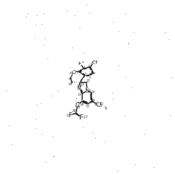 Fc1c(Cl)ccc2c1OCC[C@@]21CN2C=C(C(F)(F)F)C=C(OC(F)F)C2=N1